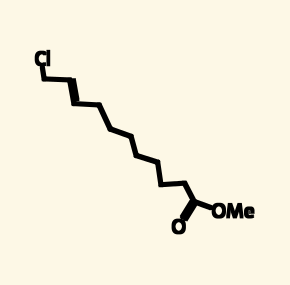 COC(=O)CCCCCCC/C=C/CCl